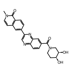 Cn1ccc2cc(-c3cnc4ccc(C(=O)N5CC[C@H](O)[C@H](O)C5)cc4n3)ccc2c1=O